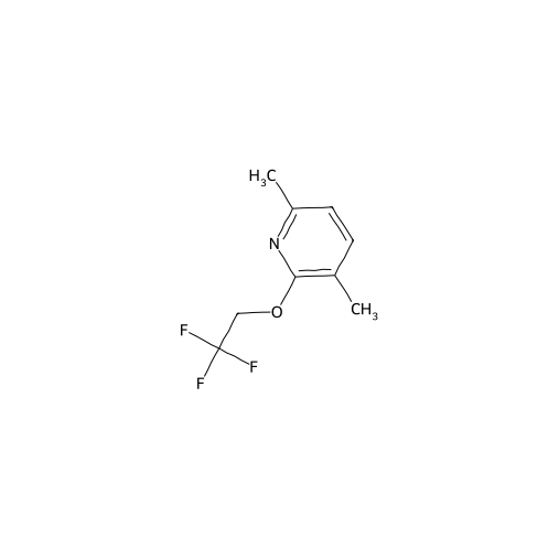 Cc1ccc(C)c(OCC(F)(F)F)n1